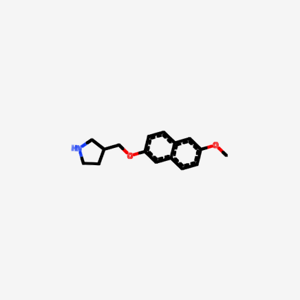 COc1ccc2cc(OCC3CCNC3)ccc2c1